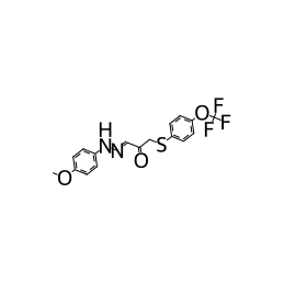 COc1ccc(NN=CC(=O)CSc2ccc(OC(F)(F)F)cc2)cc1